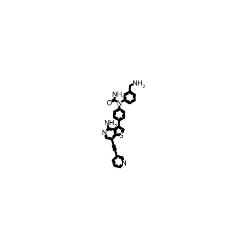 NCc1cccc(N(C(N)=O)c2ccc(-c3csc4c(C#Cc5cccnc5)cnc(N)c34)cc2)c1